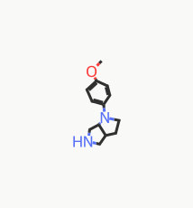 COc1ccc(N2CCC3CNCC32)cc1